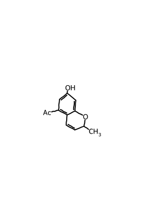 CC(=O)c1cc(O)cc2c1C=CC(C)O2